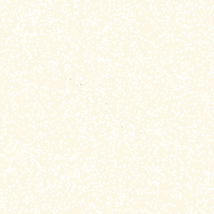 CON=C(C(=O)O)c1csc(NC(=O)OCc2ccc([N+](=O)[O-])cc2)n1